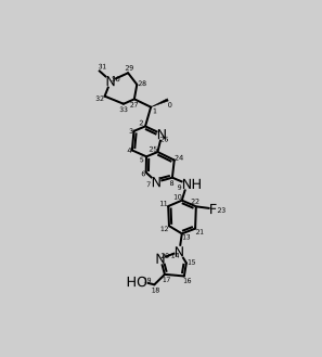 C[C@@H](c1ccc2cnc(Nc3ccc(-n4ccc(CO)n4)cc3F)cc2n1)C1CCN(C)CC1